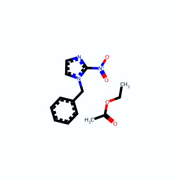 CCOC(C)=O.O=[N+]([O-])c1nccn1Cc1ccccc1